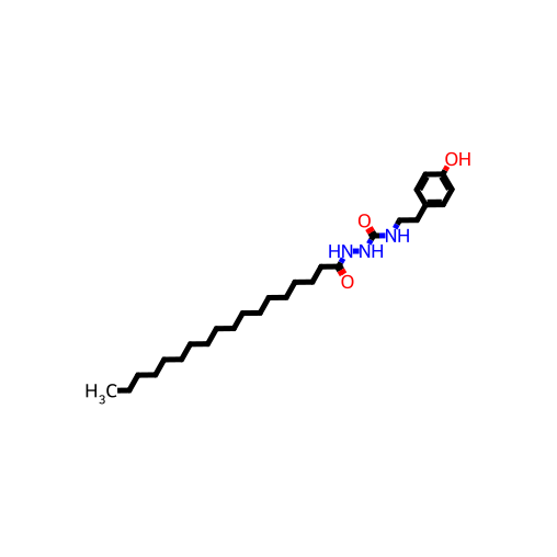 CCCCCCCCCCCCCCCCCC(=O)NNC(=O)NCCc1ccc(O)cc1